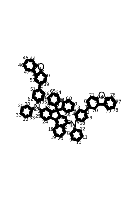 C1=C(c2ccc(N(c3ccccc3)c3cc4c(c5ccccc35)-c3ccc(N(c5ccccc5)c5ccc(-c6ccc7oc8ccccc8c7c6)cc5)cc3C4(c3ccccc3)c3ccccc3)cc2)CC2C(=C1)Oc1ccccc12